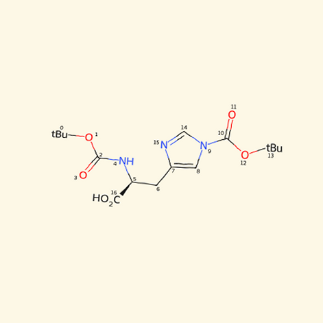 CC(C)(C)OC(=O)N[C@@H](Cc1cn(C(=O)OC(C)(C)C)cn1)C(=O)O